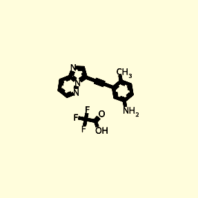 Cc1ccc(N)cc1C#Cc1cnc2cccnn12.O=C(O)C(F)(F)F